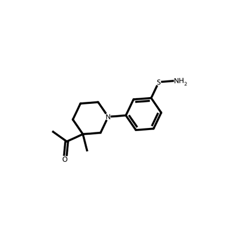 CC(=O)C1(C)CCCN(c2cccc(SN)c2)C1